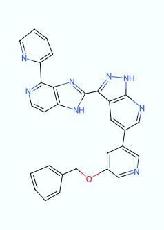 c1ccc(COc2cncc(-c3cnc4[nH]nc(-c5nc6c(-c7ccccn7)nccc6[nH]5)c4c3)c2)cc1